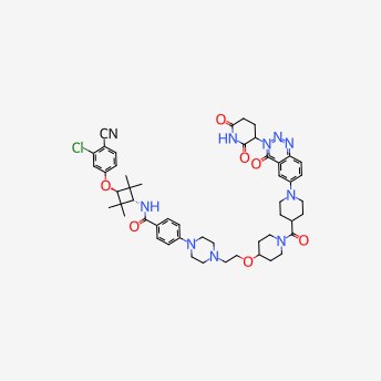 CC1(C)[C@H](NC(=O)c2ccc(N3CCN(CCOC4CCN(C(=O)C5CCN(c6ccc7nnn(C8CCC(=O)NC8=O)c(=O)c7c6)CC5)CC4)CC3)cc2)C(C)(C)[C@H]1Oc1ccc(C#N)c(Cl)c1